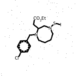 CCOC(=O)CC1CN(SI)CCCCN1Cc1ccc(Cl)cc1